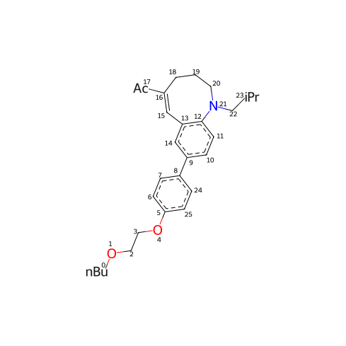 CCCCOCCOc1ccc(-c2ccc3c(c2)/C=C(/C(C)=O)CCCN3CC(C)C)cc1